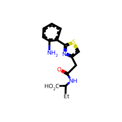 CCC(NC(=O)Cc1csc(-c2ccccc2N)n1)C(=O)O